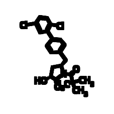 CC(C)(C)C(=O)N1C(=O)[C@H](O)C[C@H]1Cc1ccc(-c2cc(Cl)ccc2Cl)cc1